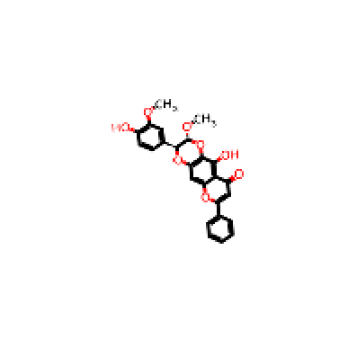 COc1cc([C@@H]2Oc3cc4oc(-c5ccccc5)cc(=O)c4c(O)c3O[C@H]2OC)ccc1O